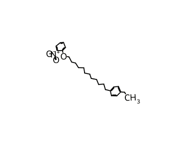 CCc1ccc(CCCCCCCCCCCCOc2ccccc2[N+](=O)[O-])cc1